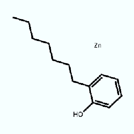 CCCCCCCc1ccccc1O.[Zn]